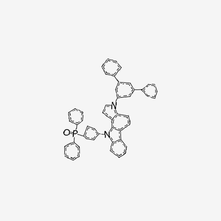 O=P(c1ccccc1)(c1ccccc1)c1ccc(-n2c3ccccc3c3ccc4c(ccn4-c4cc(-c5ccccc5)cc(-c5ccccc5)c4)c32)cc1